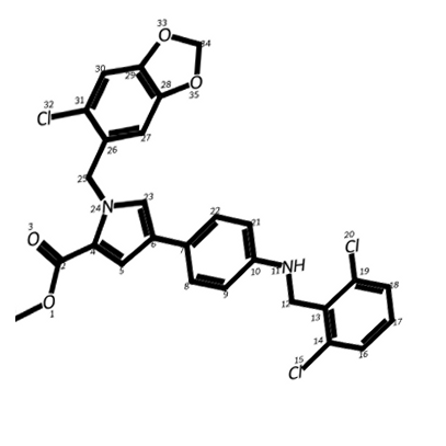 COC(=O)c1cc(-c2ccc(NCc3c(Cl)cccc3Cl)cc2)cn1Cc1cc2c(cc1Cl)OCO2